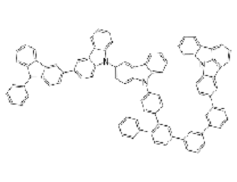 c1ccc(-c2ccc(-c3cccc(-c4cccc(-c5ccc6c(c5)c5cccc7c8ccccc8n6c75)c4)c3)cc2-c2ccc(-n3c4ccccc4c4cc(-n5c6ccccc6c6cc(-c7ccc8c(c7)-c7ccccc7C8c7ccccc7)ccc65)ccc43)cc2)cc1